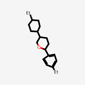 CCc1ccc(C2CCC(C3CCC(CC)CC3)CO2)cc1